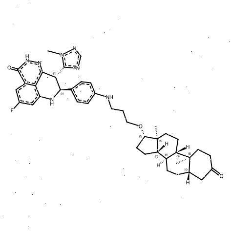 Cn1ncnc1[C@H]1c2n[nH]c(=O)c3cc(F)cc(c23)N[C@@H]1c1ccc(NCCCO[C@H]2CC[C@H]3[C@@H]4CC[C@H]5CC(=O)CC[C@]5(C)[C@H]4CC[C@]23C)cc1